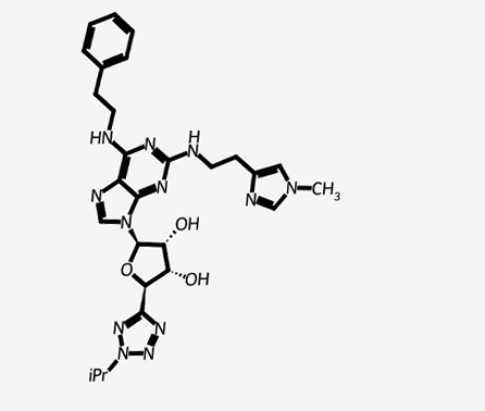 CC(C)n1nnc([C@H]2O[C@@H](n3cnc4c(NCCc5ccccc5)nc(NCCc5cn(C)cn5)nc43)[C@H](O)[C@@H]2O)n1